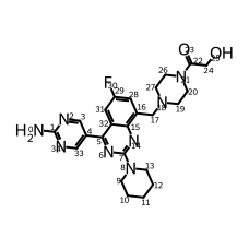 Nc1ncc(-c2nc(N3CCCCC3)nc3c(CN4CCN(C(=O)CO)CC4)cc(F)cc23)cn1